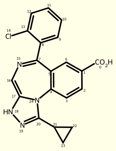 O=C(O)c1ccc2c(c1)C(c1ccccc1Cl)=NC=C1NN=C(C3CC3)N12